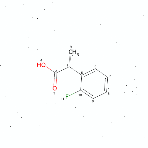 C[C@@H](C(=O)O)c1ccccc1F